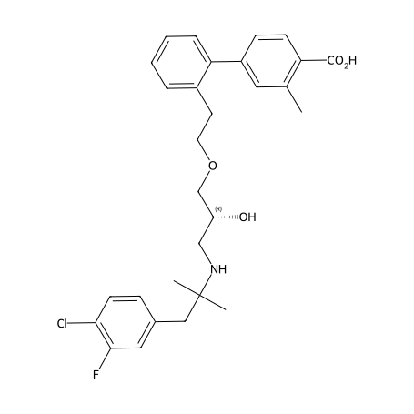 Cc1cc(-c2ccccc2CCOC[C@H](O)CNC(C)(C)Cc2ccc(Cl)c(F)c2)ccc1C(=O)O